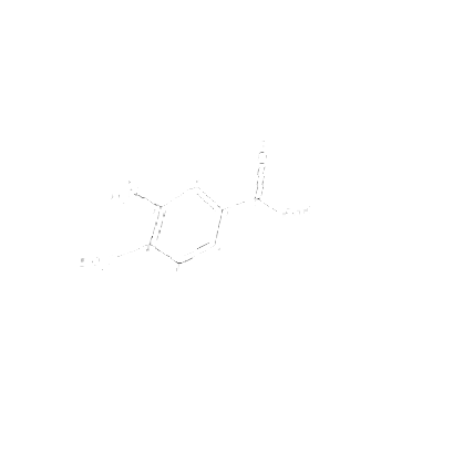 CCCCCC(=O)c1ccc(C(=O)OCC)c(N)c1